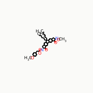 CCCCCCC1(CCCCCC)c2cc3c(cc2-c2cc4c(cc21)C/C(=N/OC)C4=O)C(=O)C(=NOC(=O)Cc1ccc(OC)cc1)C3